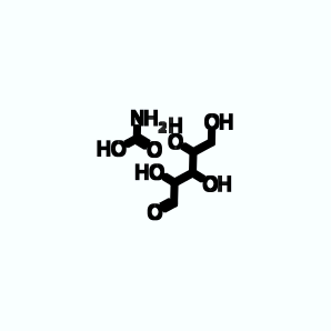 NC(=O)O.O=CC(O)C(O)C(O)CO